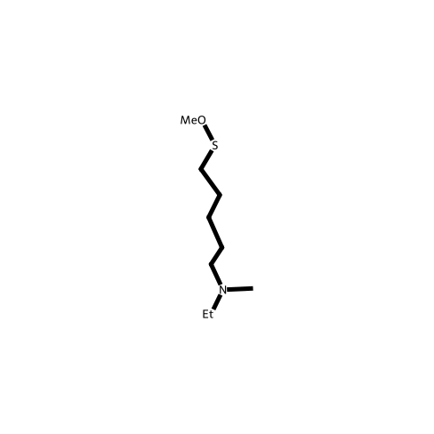 CCN(C)CCCCCSOC